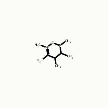 CC1=[N+](C)[CH-]P(C)C(C)C1C